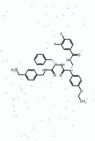 CCOc1ccc([C@@H](CNC(=O)c2ccc(F)c(F)c2)C(=O)N[C@@H](Cc2ccccc2)C(=O)NCc2ccc(CN)cc2)cc1